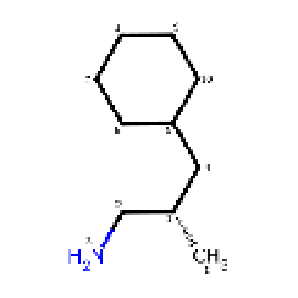 C[C@H](CN)CC1CCCCC1